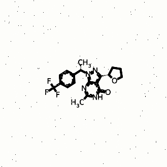 Cc1nc2c(c([C@@H]3CCCO3)nn2[C@@H](C)c2ccc(C(F)(F)F)cc2)c(=O)[nH]1